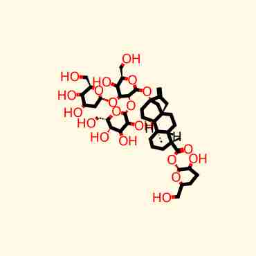 C=C1C[C@@]23CC[C@H]4[C@@](C)(CCC[C@@]4(C)C(=O)O[C@@H]4OC(CO)CCC4O)[C@@H]2CC[C@]1(OC1O[C@H](CO)C(O)C(O[C@H]2CC(O)C(O)[C@@H](CO)O2)[C@H]1O[C@@H]1O[C@@H](CO)[C@@H](O)C(O)C1O)C3